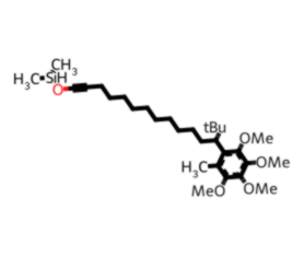 COc1c(C)c(C(CCCCCCCCCCC#CO[SiH](C)C)C(C)(C)C)c(OC)c(OC)c1OC